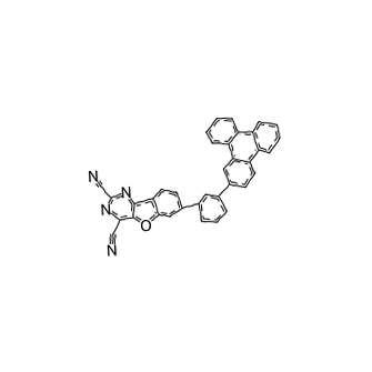 N#Cc1nc(C#N)c2oc3cc(-c4cccc(-c5ccc6c7ccccc7c7ccccc7c6c5)c4)ccc3c2n1